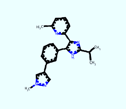 Cc1cccc(-c2nc(C(C)C)[nH]c2-c2cccc(-c3cnn(C)c3)c2)n1